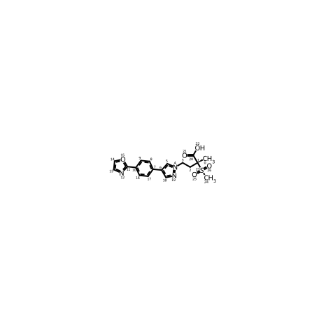 C[C@@](CCn1cc(-c2ccc(-c3ncco3)cc2)cn1)(C(=O)O)S(C)(=O)=O